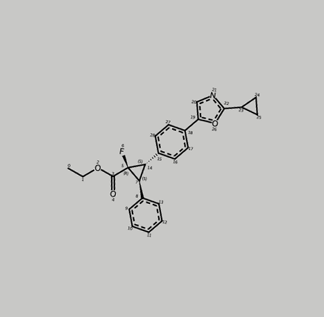 CCOC(=O)[C@@]1(F)[C@H](c2ccccc2)[C@H]1c1ccc(-c2cnc(C3CC3)o2)cc1